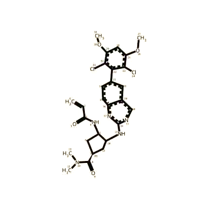 C=CC(=O)NC1C[C@H](C(=O)N(C)C)CC1Nc1ncc2cc(-c3c(Cl)c(OC)cc(OC)c3Cl)ccc2n1